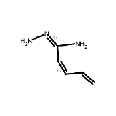 C=C/C=C\C(N)=N/N